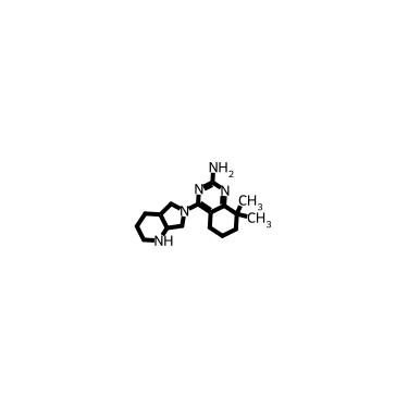 CC1(C)CCCc2c(N3CC4CCCNC4C3)nc(N)nc21